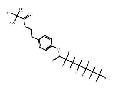 CCC(C)(C)C(=O)OCCc1ccc(OC(F)C(F)(F)C(F)(F)C(F)(F)C(F)(F)C(F)(F)C(F)(F)C(F)(F)F)cc1